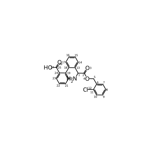 NC(C(=O)OCc1ccccc1Cl)c1ccccc1-c1ccccc1C(=O)O